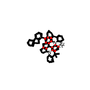 CCc1ccccc1N(c1ccccc1)c1c(CC)cccc1-c1cccc2c(-c3cccc4c3Cc3ccccc3-4)c3cccc(-c4cccc5c4N(c4ccccc4)c4ccccc4C5(C)C)c3cc12